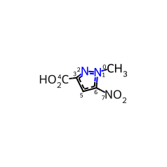 Cn1nc(C(=O)O)cc1[N+](=O)[O-]